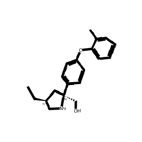 CC[C@@H]1CN[C@](CO)(c2ccc(Oc3ccccc3C)cc2)C1